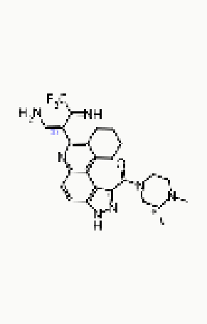 C[C@@H]1CN(C(=O)c2n[nH]c3ccc4nc(/C(=C/N)C(=N)C(F)(F)F)c5c(c4c23)CCCC5)CCN1C